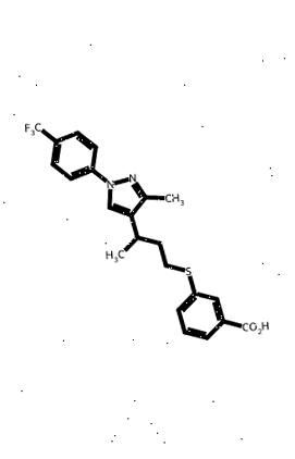 Cc1nn(-c2ccc(C(F)(F)F)cc2)cc1C(C)CCSc1cccc(C(=O)O)c1